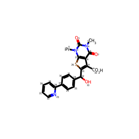 CC(C)n1c(=O)n(C)c(=O)c2c(C(=O)O)c(C(O)c3ccc(-c4ccccn4)cc3)sc21